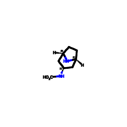 O=C(O)N[C@@H]1C[C@H]2CC[C@@H](C1)N2